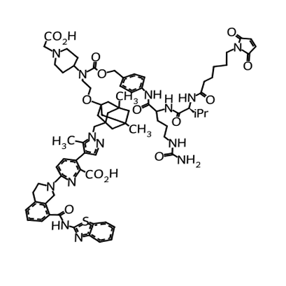 Cc1c(-c2ccc(N3CCc4cccc(C(=O)Nc5nc6ccccc6s5)c4C3)nc2C(=O)O)cnn1CC12CC3(C)CC(C)(C1)CC(OCCN(C(=O)OCc1ccc(NC(=O)C(CCCNC(N)=O)NC(=O)[C@@H](NC(=O)CCCCCN4C(=O)C=CC4=O)C(C)C)cc1)C1CCN(CC(=O)O)CC1)(C3)C2